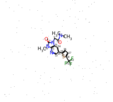 CN(C)C(=O)Cn1c(=O)n(C)c2ncc(-c3ccc(C(F)(F)F)s3)cc21